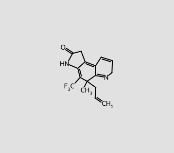 C=CCC1(C)C2=NCC=CC2=C2CC(=O)NC2=C1C(F)(F)F